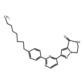 CCCCCCCCc1ccc(-c2nccc(-c3cc4n(n3)CCNC4=O)n2)cc1